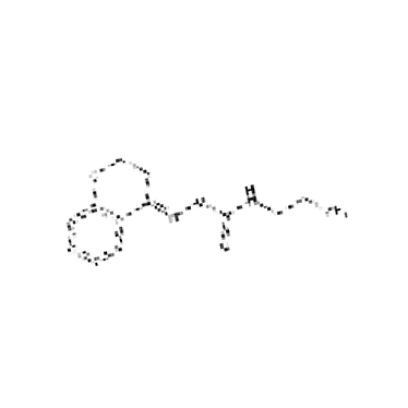 CCCNC(=O)ON=C1CCOc2ccccc21